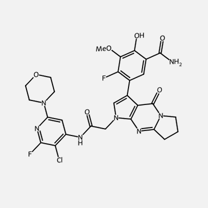 COc1c(O)c(C(N)=O)cc(-c2cn(CC(=O)Nc3cc(N4CCOCC4)nc(F)c3Cl)c3nc4n(c(=O)c23)CCC4)c1F